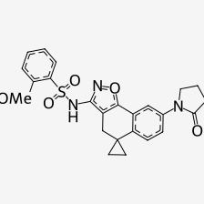 COc1ccccc1S(=O)(=O)Nc1noc2c1CC1(CC1)c1ccc(N3CCCC3=O)cc1-2